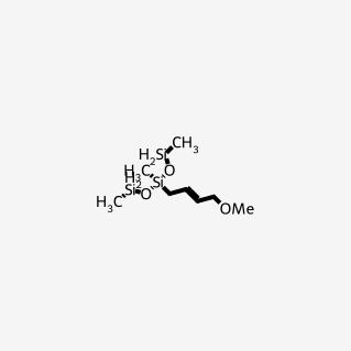 COC/C=C/C[Si](C)(O[SiH2]C)O[SiH2]C